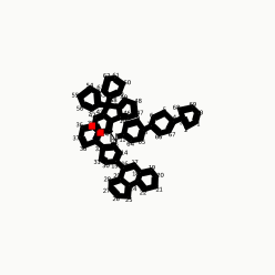 c1ccc(-c2ccc(-c3ccc(N(c4cc(-c5cc6ccccc6c6ccccc56)ccc4-c4ccccc4)c4cccc5c4-c4ccccc4C5(c4ccccc4)c4ccccc4)cc3)cc2)cc1